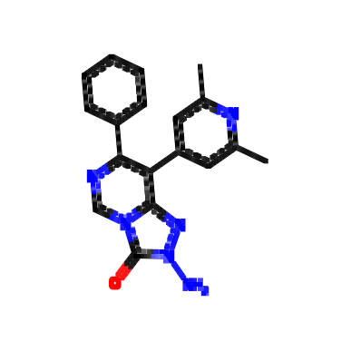 Cc1cc(-c2c(-c3ccccc3)ncn3c(=O)n(N)nc23)cc(C)n1